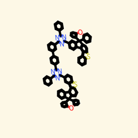 c1ccc(-c2nc(-c3cccc(-c4ccc(-c5nc(-c6ccccc6)nc(-c6ccc7sc8ccc9c(c8c7c6)-c6ccccc6C96c7ccccc7Oc7ccccc76)n5)cc4)c3)nc(-c3ccc4c(c3)C3(c5ccccc5Oc5ccccc53)c3ccc5sc6ccccc6c5c3-4)n2)cc1